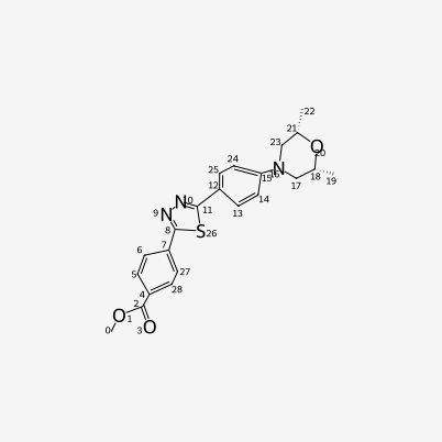 COC(=O)c1ccc(-c2nnc(-c3ccc(N4C[C@@H](C)O[C@@H](C)C4)cc3)s2)cc1